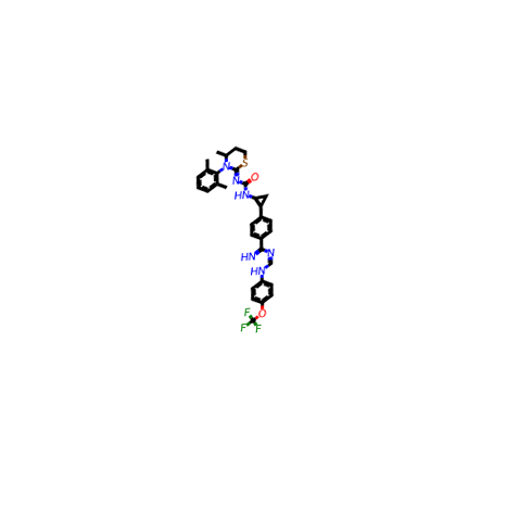 Cc1cccc(C)c1N1/C(=N/C(=O)NC2CC2c2ccc(C(=N)/N=C\Nc3ccc(OC(F)(F)F)cc3)cc2)SCCC1C